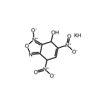 O=[N+]([O-])C1=CC([N+](=O)[O-])c2no[n+]([O-])c2C1O.[KH]